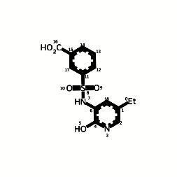 CCc1cnc(O)c(NS(=O)(=O)c2cccc(C(=O)O)c2)c1